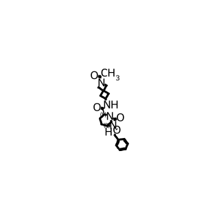 CC(=O)N1CC2(CC(NC(=O)[C@@H]3CC[C@@H]4CN3C(=O)N4OCc3ccccc3)C2)C1